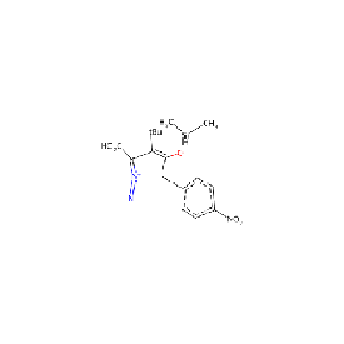 C[SiH](C)OC(Cc1ccc([N+](=O)[O-])cc1)=C(C(=[N+]=[N-])C(=O)O)C(C)(C)C